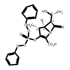 C[C@@H](O)[C@H]1C(=O)N2C(C(=O)O)=C(OP(=O)(OOc3ccccc3)OOc3ccccc3)[C@H](C)[C@@H]12